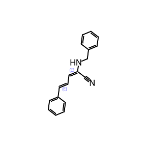 N#C/C(=C\C=C\c1ccccc1)NCc1ccccc1